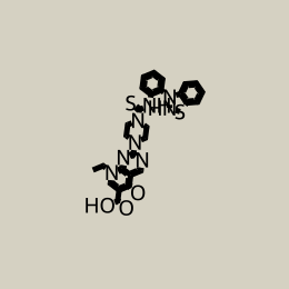 CCn1cc(C(=O)O)c(=O)c2cnc(N3CCN(C(=S)Nc4ccccc4N4NSc5ccccc54)CC3)nc21